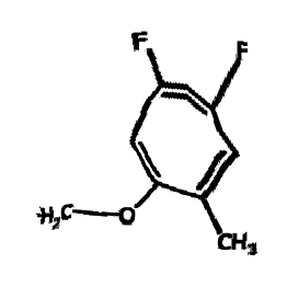 [CH2]Oc1cc(F)c(F)cc1C